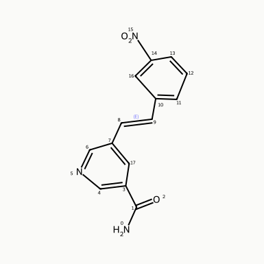 NC(=O)c1cncc(/C=C/c2cccc([N+](=O)[O-])c2)c1